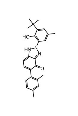 Cc1ccc(-c2ccc3[nH]n(-c4cc(C)cc(C(C)(C)C)c4O)nc-3c2=O)c(C)c1